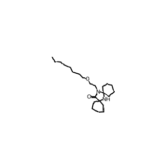 CCCCCCCCOCCN1C(=O)C2(CCCCC2)NC12CCCCC2